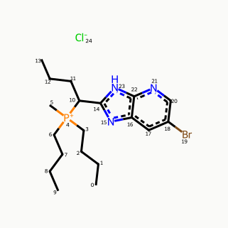 CCCC[P+](C)(CCCC)C(CCC)c1nc2cc(Br)cnc2[nH]1.[Cl-]